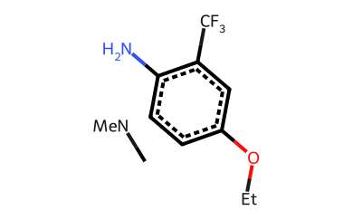 CCOc1ccc(N)c(C(F)(F)F)c1.CNC